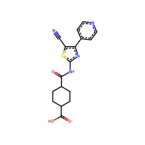 N#Cc1sc(NC(=O)C2CCC(C(=O)O)CC2)nc1-c1ccncc1